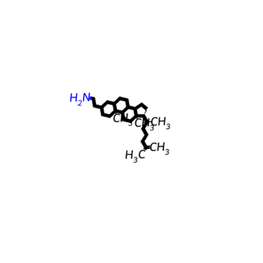 CC(C)CCC[C@@H](C)[C@H]1CCC2C3CCC4CC(CCN)CC[C@]4(C)C3CC[C@@]21C